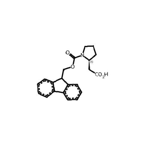 O=C(O)C[C@@H]1CCCN1C(=O)OCC1c2ccccc2-c2ccccc21